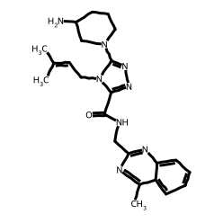 CC(C)=CCn1c(C(=O)NCc2nc(C)c3ccccc3n2)nnc1N1CCCC(N)C1